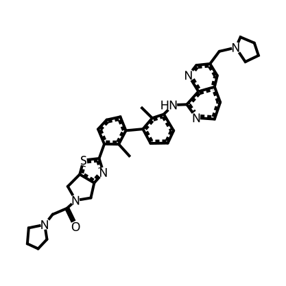 Cc1c(Nc2nccc3cc(CN4CCCC4)cnc23)cccc1-c1cccc(-c2nc3c(s2)CN(C(=O)CN2CCCC2)C3)c1C